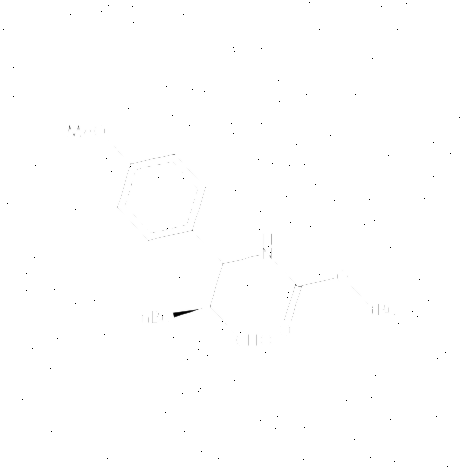 CCCC[C@H](C=O)C(NC(=O)OC(C)(C)C)c1ccc(OC)cc1